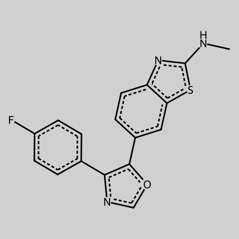 CNc1nc2ccc(-c3ocnc3-c3ccc(F)cc3)cc2s1